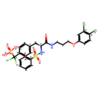 O=C(NCCCOc1ccc(Cl)c(Cl)c1)[C@H](Cc1ccc(C(F)(F)P(=O)(O)O)cc1)NS(=O)(=O)c1ccccc1